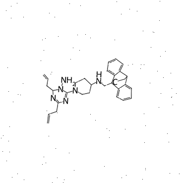 C=CCC1=NC(CC=C)N(N)C(N2CCC(NCC34CCC(c5ccccc53)c3ccccc34)CC2)=N1